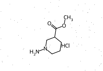 COC(=O)C1CCCN(N)C1.Cl